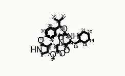 COC(=O)[C@H](CC1CCNC1=O)NC(=O)[C@H](CC1CCCCC1)NC(=O)OC(c1ccccc1)C(C)C